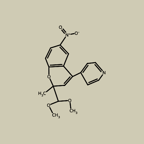 COC(OC)C1(C)C=C(c2ccncc2)c2cc([N+](=O)[O-])ccc2O1